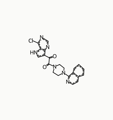 O=C(C(=O)N1CCN(c2nccc3ccccc23)CC1)c1c[nH]c2c(Cl)ncnc12